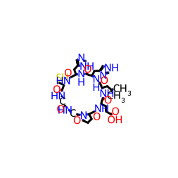 CC(C)CC1NC(=O)C(CCC(=O)O)NC(=O)C2CCCN2C(=O)CNC(=O)CNC(=O)C(CS)NC(=O)C(Cc2cnc[nH]2)NC(=O)C(Cc2c[nH]cn2)NC1=O